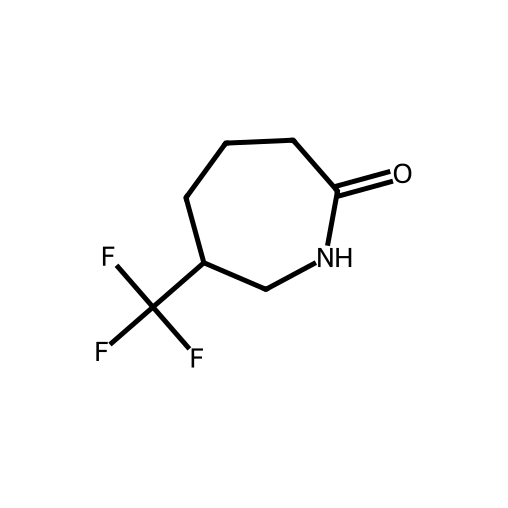 O=C1CCCC(C(F)(F)F)CN1